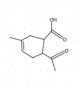 CC(=O)C1CC=C(C)CC1C(=O)O